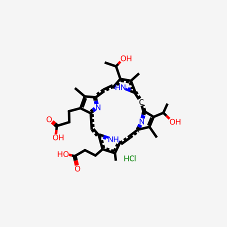 CC1=C(CCC(=O)O)c2cc3[nH]c(cc4nc(cc5[nH]c(cc1n2)c(C(C)O)c5C)C(C(C)O)=C4C)c(C)c3CCC(=O)O.Cl